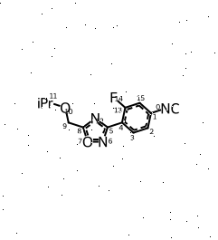 [C-]#[N+]c1ccc(-c2noc(COC(C)C)n2)c(F)c1